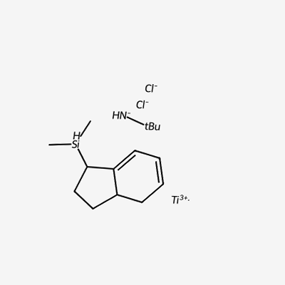 CC(C)(C)[NH-].C[SiH](C)C1CCC2CC=CC=C21.[Cl-].[Cl-].[Ti+3]